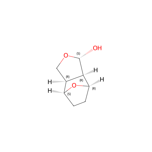 O[C@H]1OC[C@H]2[C@@H]1[C@H]1CC[C@@H]2O1